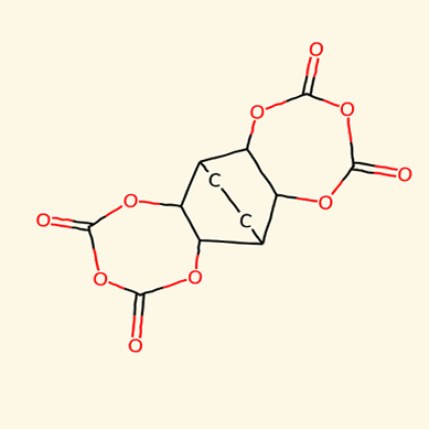 O=C1OC(=O)OC2C3CCC(C2O1)C1OC(=O)OC(=O)OC31